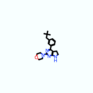 CC(C)(C)Cc1cccc(-c2nc(N3CCOCC3)nc3c2CCN3)c1